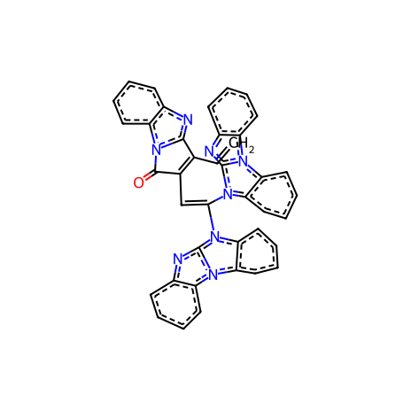 C=CC1=C(C=C(n2c3ccccc3n3c4ccccc4nc23)n2c3ccccc3n3c4ccccc4nc23)C(=O)n2c1nc1ccccc12